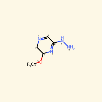 NNC1=NC(OC(F)(F)F)CN=C1